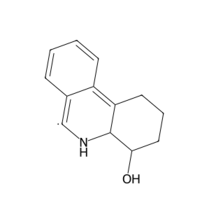 OC1CCCC2=c3ccccc3=[C]NC21